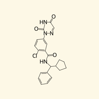 O=C(NC(c1ccccc1)C1CCCC1)c1cc(-n2ncc(=O)[nH]c2=O)ccc1Cl